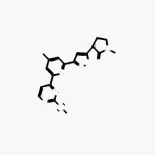 Cc1cc(-c2cc([C@]3(O)CCN(C)C3=O)on2)nc(-c2ccnc(S(C)(=O)=O)n2)c1